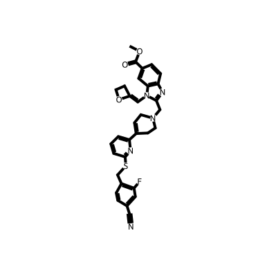 COC(=O)c1ccc2nc(CN3CC=C(c4cccc(SCc5ccc(C#N)cc5F)n4)CC3)n(C=C3CCO3)c2c1